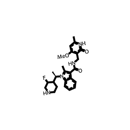 COc1cc(C)[nH]c(=O)c1CNC(=O)c1c(C)n([C@H](C)C2CCNCC2F)c2ccccc12